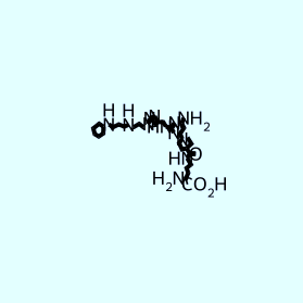 Nc1cc(N2CCC(C(=O)NCCC[C@H](N)C(=O)O)CC2)nc(NCc2cn(CCCNCCCNC3CCCCC3)nn2)n1